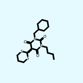 CCCCN1C(=O)C(=C2SCCCS2)C(=O)N(CC2CCCCC2)C1=O